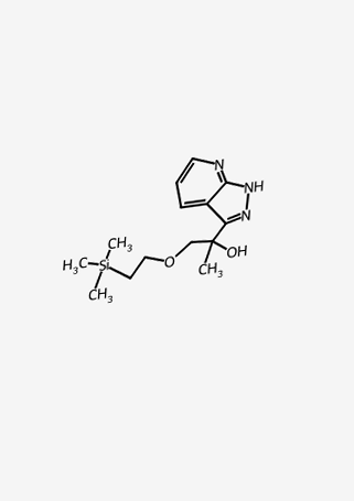 CC(O)(COCC[Si](C)(C)C)c1n[nH]c2ncccc12